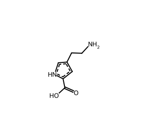 NCCc1c[nH]c(C(=O)O)c1